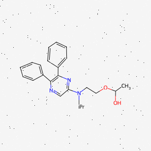 CC(O)OCCN(c1cnc(-c2ccccc2)c(-c2ccccc2)n1)C(C)C